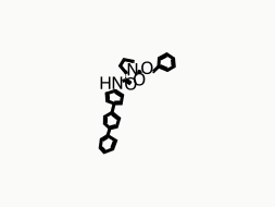 O=C(Nc1ccc(-c2ccc(-c3ccccc3)cc2)cc1)[C@@H]1CCCN1C(=O)OCc1ccccc1